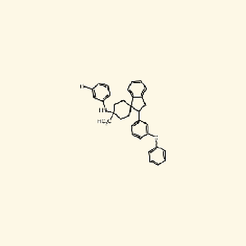 O=C(O)C1(Nc2cccc(Cl)c2)CCC2(CC1)c1ccccc1CC2c1cccc(Oc2ccccc2)c1